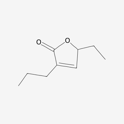 CCCC1=CC(CC)OC1=O